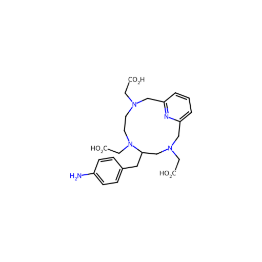 Nc1ccc(CC2CN(CC(=O)O)Cc3cccc(n3)CN(CC(=O)O)CCN2CC(=O)O)cc1